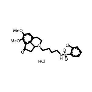 COc1cc2c3c(c1OC)C(=O)CC3N(CCCCNS(=O)(=O)c1ccccc1Cl)CC2.Cl